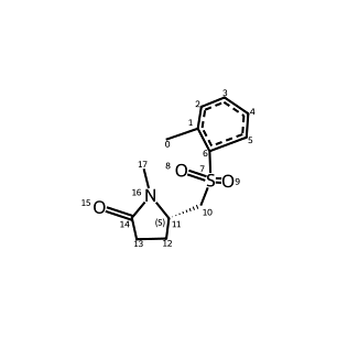 Cc1ccccc1S(=O)(=O)C[C@@H]1CCC(=O)N1C